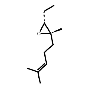 CC[C@H]1O[C@@]1(C)CCC=C(C)C